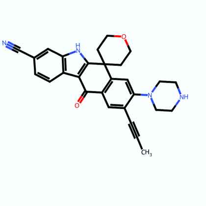 CC#Cc1cc2c(cc1N1CCNCC1)C1(CCOCC1)c1[nH]c3cc(C#N)ccc3c1C2=O